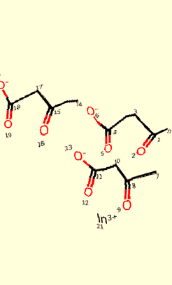 CC(=O)CC(=O)[O-].CC(=O)CC(=O)[O-].CC(=O)CC(=O)[O-].[In+3]